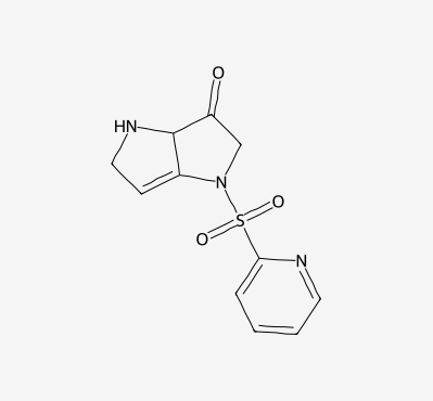 O=C1CN(S(=O)(=O)c2ccccn2)C2=CCNC12